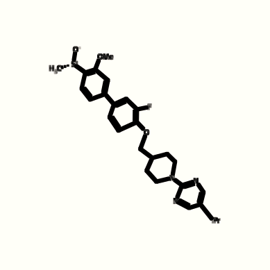 COc1cc(-c2ccc(OCC3CCN(c4ncc(C(C)C)cn4)CC3)c(F)c2)ccc1[S@+](C)[O-]